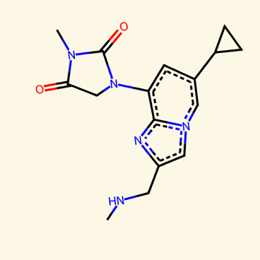 CNCc1cn2cc(C3CC3)cc(N3CC(=O)N(C)C3=O)c2n1